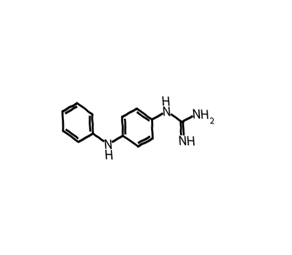 N=C(N)Nc1ccc(Nc2ccccc2)cc1